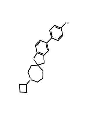 N#Cc1ccc(-c2ccc3c(c2)CC2(CCCN(C4CCC4)CC2)O3)cc1